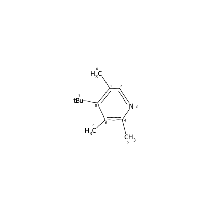 Cc1cnc(C)c(C)c1C(C)(C)C